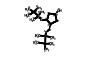 CC(C)(C)[Si](C)(C)OC[C@@H]1C[C@@H](O)CC1O[Si](C)(C)C(C)(C)C